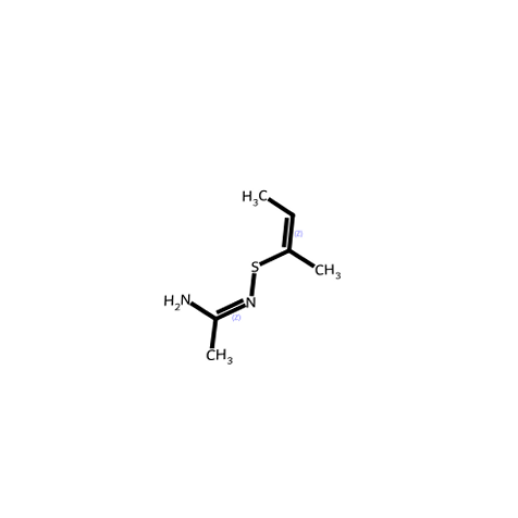 C/C=C(/C)S/N=C(/C)N